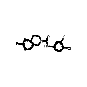 O=C(Nc1ccc(Cl)c(Cl)c1)N1CCc2cc(F)ccc2C1